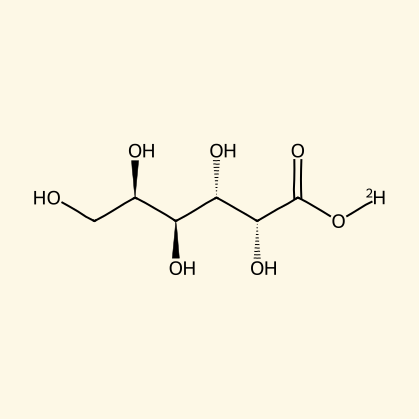 [2H]OC(=O)[C@H](O)[C@@H](O)[C@@H](O)[C@H](O)CO